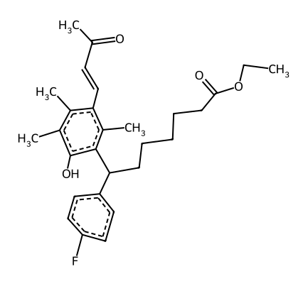 CCOC(=O)CCCCCC(c1ccc(F)cc1)c1c(C)c(C=CC(C)=O)c(C)c(C)c1O